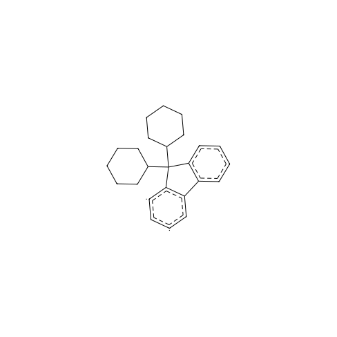 [c]1c[c]c2c(c1)-c1ccccc1C2(C1CCCCC1)C1CCCCC1